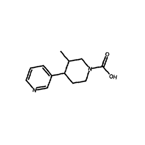 CC1CN(C(=O)O)CCC1c1cccnc1